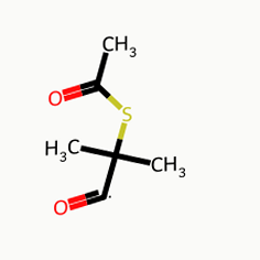 CC(=O)SC(C)(C)[C]=O